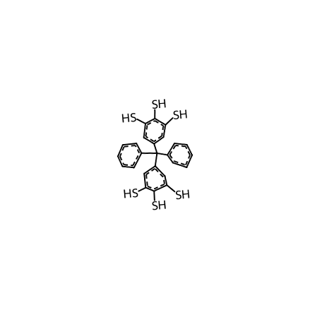 Sc1cc(C(c2ccccc2)(c2ccccc2)c2cc(S)c(S)c(S)c2)cc(S)c1S